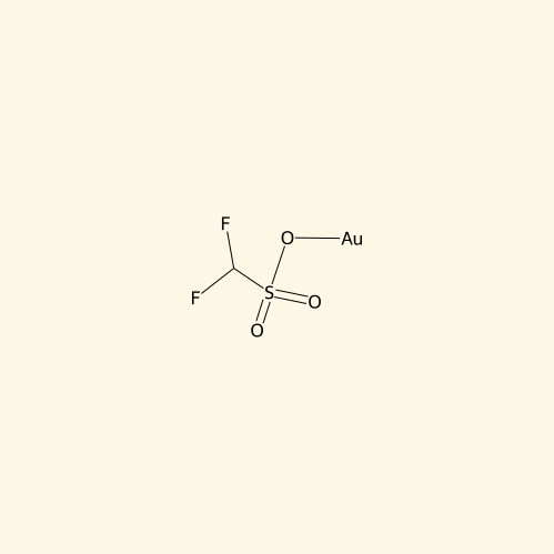 O=S(=O)([O][Au])C(F)F